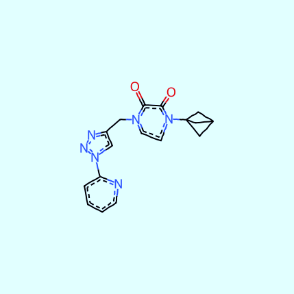 O=c1c(=O)n(C23CC(C2)C3)ccn1Cc1cn(-c2ccccn2)nn1